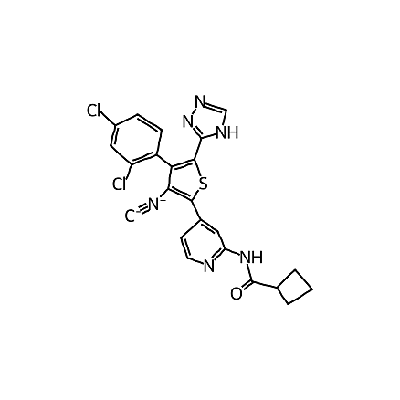 [C-]#[N+]c1c(-c2ccnc(NC(=O)C3CCC3)c2)sc(-c2nnc[nH]2)c1-c1ccc(Cl)cc1Cl